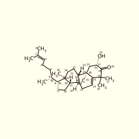 CC(C)=CCC[C@@H](C)[C@H]1CC[C@H]2[C@@H]3CC=C4C(C)(C)C(=O)[C@@H](O)C[C@]4(C)[C@H]3CC[C@]12C